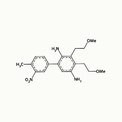 COCCc1c(N)cc(-c2ccc(C)c([N+](=O)[O-])c2)c(N)c1CCOC